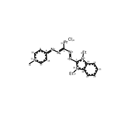 CCn1c(N=NC(=NN=c2ccn(C)cc2)C(C)C)[n+](CC)c2ccccc21.[Cl-]